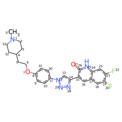 CN1CCC(CCOc2ccc(-n3cc(-c4cc5cc(F)c(F)cc5[nH]c4=O)nn3)cc2)CC1